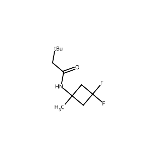 CC(C)(C)CC(=O)NC1(C)CC(F)(F)C1